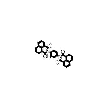 O=C1c2cccc3c2C(CCC3)C(=O)N1c1ccc(N2C(=O)c3cccc4c3C(CCC4)C2O)cc1